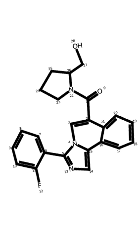 O=C(c1cn2c(-c3ccccc3F)ncc2c2ccccc12)N1CCCC1CO